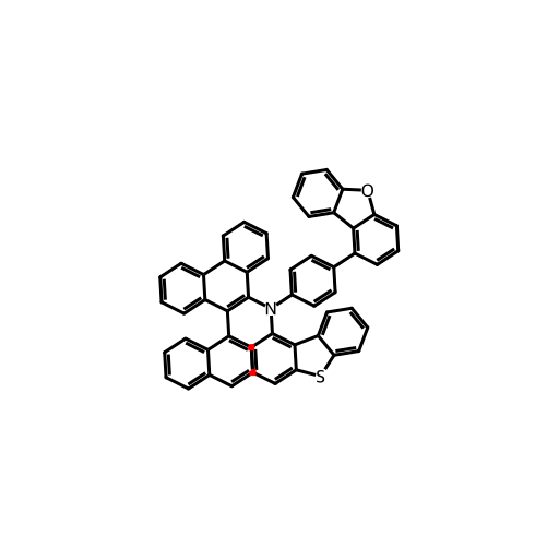 c1ccc2c(-c3c(N(c4ccc(-c5cccc6oc7ccccc7c56)cc4)c4cccc5sc6ccccc6c45)c4ccccc4c4ccccc34)cccc2c1